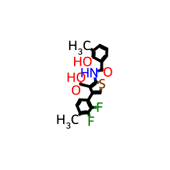 Cc1cccc(C(=O)Nc2scc(-c3ccc(C)c(F)c3F)c2C(=O)O)c1O